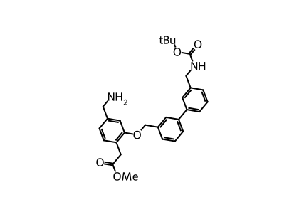 COC(=O)Cc1ccc(CN)cc1OCc1cccc(-c2cccc(CNC(=O)OC(C)(C)C)c2)c1